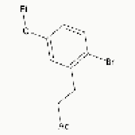 CCOc1ccc(Br)c(CCC(C)=O)c1